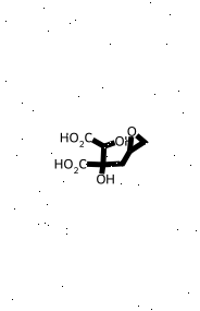 O=C(O)C(O)C(O)(CC1CO1)C(=O)O